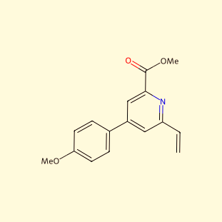 C=Cc1cc(-c2ccc(OC)cc2)cc(C(=O)OC)n1